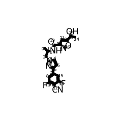 CC(Cn1ccc(-c2cc(F)c(C#N)c(F)c2)n1)NC(=O)c1cc(C(C)O)on1